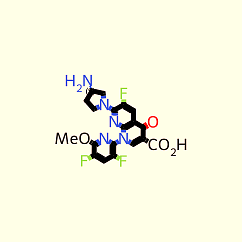 COc1nc(-n2cc(C(=O)O)c(=O)c3cc(F)c(N4CC[C@H](N)C4)nc32)c(F)cc1F